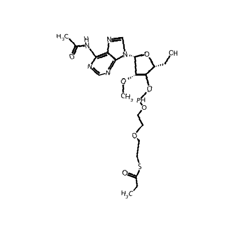 CCC(=O)SCCOCCOPOC1[C@@H](CO)O[C@@H](n2cnc3c(NC(C)=O)ncnc32)[C@H]1OC